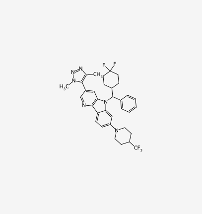 Cc1nnn(C)c1-c1cnc2c3ccc(N4CCC(C(F)(F)F)CC4)cc3n(C(c3ccccc3)C3CCC(F)(F)CC3)c2c1